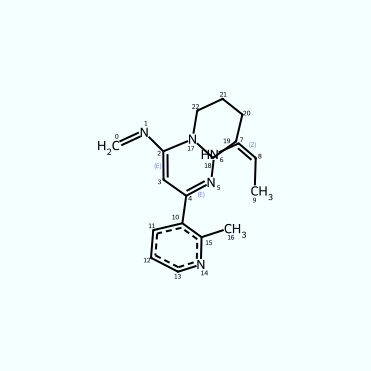 C=N/C(=C/C(=N\N/C=C\C)c1cccnc1C)N1CCCCC1